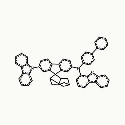 c1ccc(-c2ccc(N(c3ccc4c(c3)C3(c5cc(-n6c7ccccc7c7ccccc76)ccc5-4)C4CC5CC(C4)C3C5)c3cccc4c3oc3ccccc34)cc2)cc1